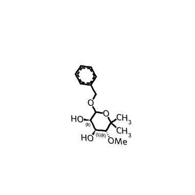 CO[C@@H]1[C@@H](O)[C@@H](O)C(OCc2ccccc2)OC1(C)C